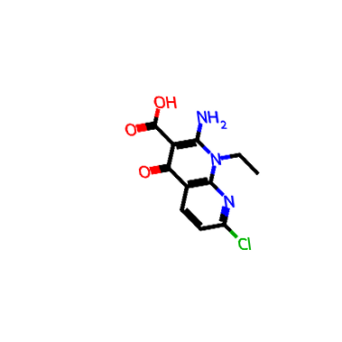 CCn1c(N)c(C(=O)O)c(=O)c2ccc(Cl)nc21